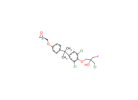 CC(C)(c1ccc(OC[C@H]2CO2)cc1)c1cc(Cl)c(OCC(O)(CCl)CI)c(Cl)c1